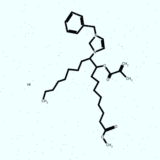 C=C(C)C(=O)OC(CCCCCCCC(=O)OC)C(CCCCCCCC)N1C=CN(Cc2ccccc2)C1.I